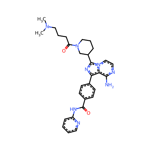 CN(C)CCCC(=O)N1CCCC(c2nc(-c3ccc(C(=O)Nc4ccccn4)cc3)c3c(N)nccn23)C1